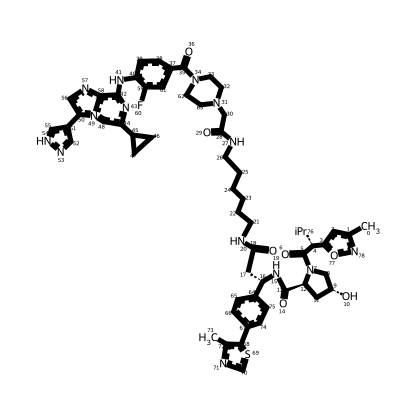 Cc1cc([C@H](C(=O)N2C[C@H](O)C[C@H]2C(=O)N[C@@H](CC(=O)NCCCCCCNC(=O)CN2CCN(C(=O)c3ccc(Nc4nc(C5CC5)cn5c(-c6cn[nH]c6)cnc45)c(F)c3)CC2)c2ccc(-c3scnc3C)cc2)C(C)C)on1